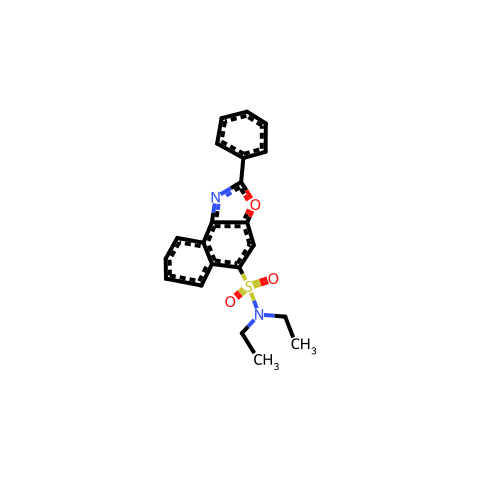 CCN(CC)S(=O)(=O)c1cc2oc(-c3ccccc3)nc2c2ccccc12